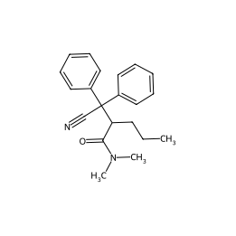 CCCC(C(=O)N(C)C)C(C#N)(c1ccccc1)c1ccccc1